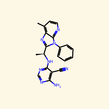 Cc1ccnc2c1nc([C@H](C)Nc1ncnc(N)c1C#N)n2-c1ccccc1